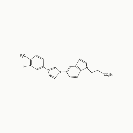 CCOC(=O)CCn1ccc2cc(-n3cnc(-c4ccc(C(F)(F)F)c(I)c4)c3)ccc21